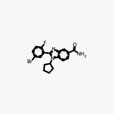 NC(=O)c1ccc2c(c1)nc(-c1cc(Br)ccc1F)n2C1CCCC1